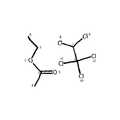 CCOC(C)=O.ClC(Cl)C(Cl)(Cl)Cl